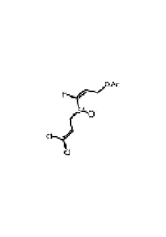 CC(=O)OCC=C(F)[S+]([O-])CC=C(Cl)Cl